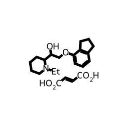 CCN1CCCCC1C(O)COc1cccc2c1CCC2.O=C(O)C=CC(=O)O